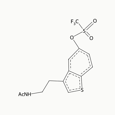 CC(=O)NCCc1csc2ccc(OS(=O)(=O)C(F)(F)F)cc12